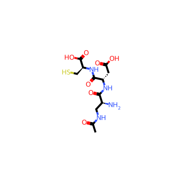 CC(=O)NC[C@H](N)C(=O)N[C@@H](CC(=O)O)C(=O)N[C@@H](CS)C(=O)O